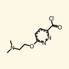 CN(C)CCOc1ccc(C(=O)Cl)nn1